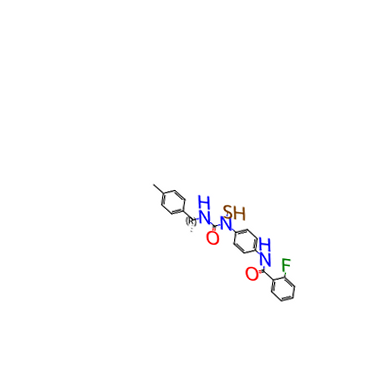 Cc1ccc([C@@H](C)NC(=O)N(S)c2ccc(NC(=O)c3ccccc3F)cc2)cc1